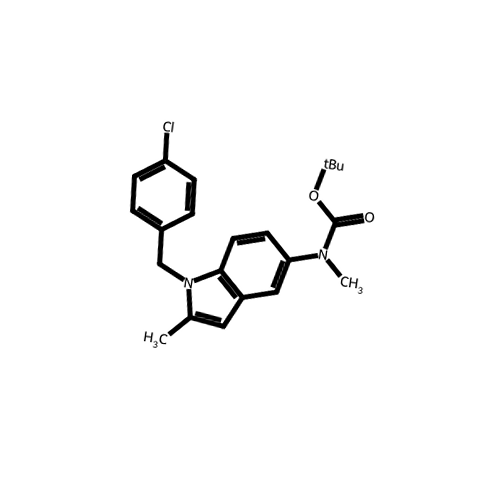 Cc1cc2cc(N(C)C(=O)OC(C)(C)C)ccc2n1Cc1ccc(Cl)cc1